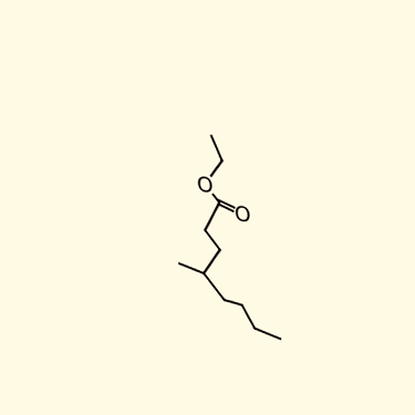 CCCCC(C)CCC(=O)OCC